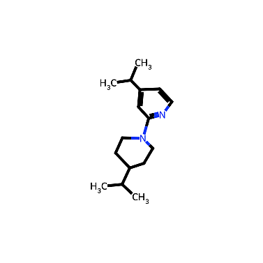 CC(C)c1ccnc(N2CCC(C(C)C)CC2)c1